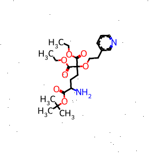 CCOC(=O)C(CCC(N)C(=O)OC(C)(C)C)(OCCc1cccnc1)C(=O)OCC